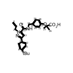 C=CCn1nc(-c2ccc(C(C)(C)C)cc2)cc1C(=O)NCc1ccc(OC(C)(C)C(=O)O)cc1